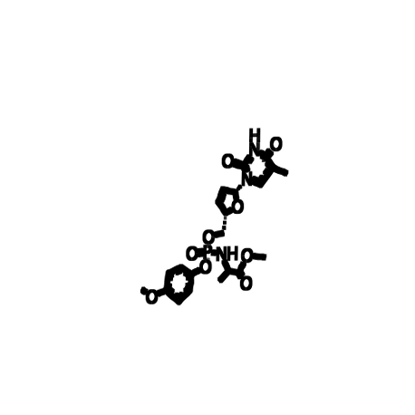 COC(=O)C(C)NP(=O)(OC[C@@H]1C=C[C@H](n2cc(C)c(=O)[nH]c2=O)O1)Oc1ccc(OC)cc1